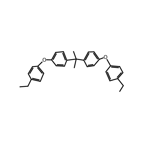 CCc1ccc(Oc2ccc(C(C)(C)c3ccc(Oc4ccc(CC)cc4)cc3)cc2)cc1